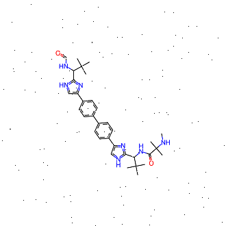 CNC(C)(C)C(=O)NC(c1nc(-c2ccc(-c3ccc(-c4c[nH]c(C(NC=O)C(C)(C)C)n4)cc3)cc2)c[nH]1)C(C)(C)C